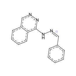 C(=N/Nc1nncc2ccccc12)/c1ccccc1